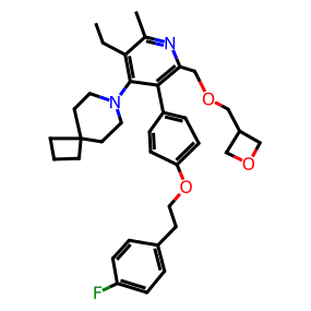 CCc1c(C)nc(COCC2COC2)c(-c2ccc(OCCc3ccc(F)cc3)cc2)c1N1CCC2(CCC2)CC1